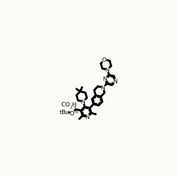 Cc1nc(C)c([C@H](OC(C)(C)C)C(=O)O)c(N2CCC(C)(C)CC2)c1-c1ccc2c(c1)CCN(c1cncc(N3CCOCC3)n1)C2